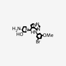 COc1cc(Br)cc(Nc2ncnn3ccc(CN4CC[C@@H](N)[C@H](O)C4)c23)c1